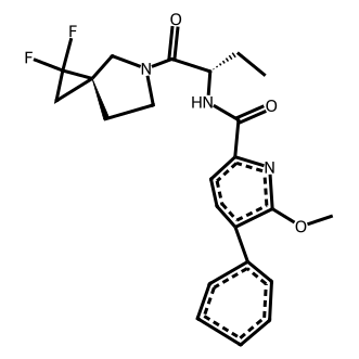 CC[C@H](NC(=O)c1ccc(-c2ccccc2)c(OC)n1)C(=O)N1CC[C@@]2(C1)CC2(F)F